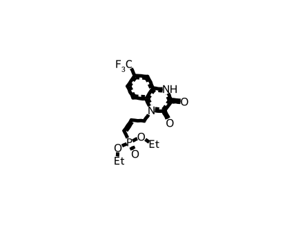 CCOP(=O)(/C=C\Cn1c(=O)c(=O)[nH]c2cc(C(F)(F)F)ccc21)OCC